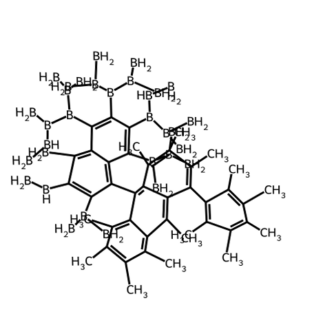 BBB(B)B(B(B)B)c1c(B(B(B)B)B(B)B)c(B(BB)B(B)B)c(B(B)B(B)B)c2c(-c3c4c(C)c(C)c(C)c(C)c4c(C)c4c(-c5c(C)c(C)c(C)c(C)c5C)c(C)c(C)c(C)c34)c(B(B)B)c(BB)c(B)c12